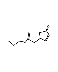 COCNC(=O)CC1C=CC(=O)C1